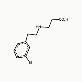 CCc1cccc(CCNCCC(=O)O)c1